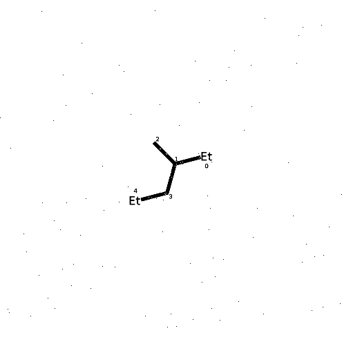 [CH2]CC(C)CCC